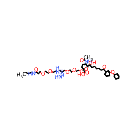 CCCCNC(=O)CCOCCOCCN/C=C(/COCCOCCO[C@]1(C(=O)O)CC[C@@H](NC(C)=O)[C@H]([C@H](O)CCCCCC(=O)c2cccc(Oc3ccccc3)c2)O1)N=N